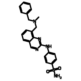 CN(Cc1ccccc1)Cc1cccc2cnc(Nc3ccc(S(N)(=O)=O)cc3)nc12